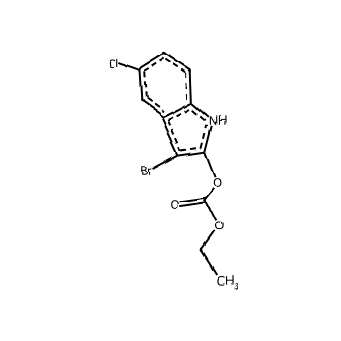 CCOC(=O)Oc1[nH]c2ccc(Cl)cc2c1Br